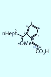 CCCCCCCC(OC)c1ccccc1/C=C/C(=O)O